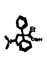 Br.CCC(=O)C(CC(C)N(C)C)(c1ccccc1)c1ccccc1